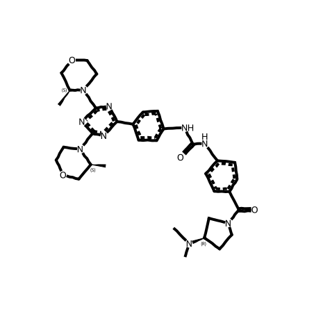 C[C@H]1COCCN1c1nc(-c2ccc(NC(=O)Nc3ccc(C(=O)N4CC[C@@H](N(C)C)C4)cc3)cc2)nc(N2CCOC[C@@H]2C)n1